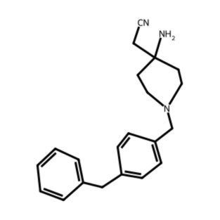 N#CCC1(N)CCN(Cc2ccc(Cc3ccccc3)cc2)CC1